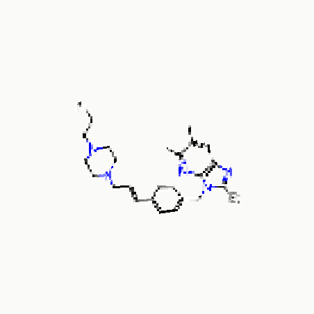 CCc1nc2cc(C)c(C)nc2n1Cc1ccc(C=CCN2CCN(CCC(C)C)CC2)cc1